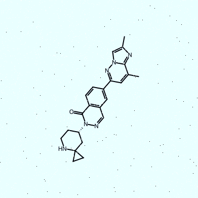 Cc1cn2nc(-c3ccc4c(=O)n([C@H]5CCNC6(CC6)C5)ncc4c3)cc(C)c2n1